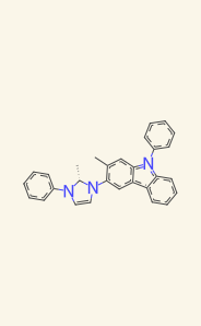 Cc1cc2c(cc1N1C=CN(c3ccccc3)[C@@H]1C)c1ccccc1n2-c1ccccc1